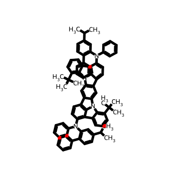 CC(C)c1ccc(-c2ccccc2)c(N(c2ccccc2)c2ccc3c4cc5c(cc4n4c6c(C(C)(C)C)cccc6c2c34)c2ccc(N(c3ccccc3)c3cc(C(C)C)ccc3-c3ccccc3)c3c4cccc(C(C)(C)C)c4n5c23)c1